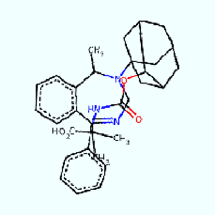 CC1c2ccccc2C(c2ccccc2)=NCN1C12CC3CC(C1)C(OC(=O)NC(C)(C)C(=O)O)C(C3)C2